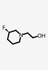 OCCN1CCC[C@@H](F)C1